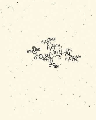 COC(C)(C)CCOC(C)(C)CCNC(=O)CC[C@H](NC(=O)[C@H](CCC(=O)OC(C)(C)C)NC(=O)c1ccc(C(=O)C(CSC(C)C)CS(=O)(=O)C(C)C)cc1)C(=O)NCCC(C)(C)OCCC(C)(C)OC